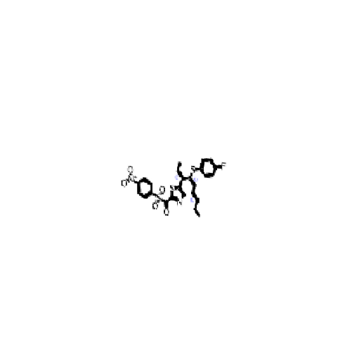 C\C=C(/C(=C\C=C\CC)Sc1ccc(F)cc1)c1cnc(C(=O)S(=O)(=O)c2ccc([N+](=O)[O-])cc2)s1